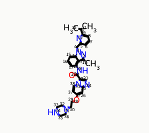 Cc1nn(Cc2cccc(C(C)C)n2)c2cccc(NC(=O)c3cnc4cc(OCCN5CCNCC5)ccn34)c12